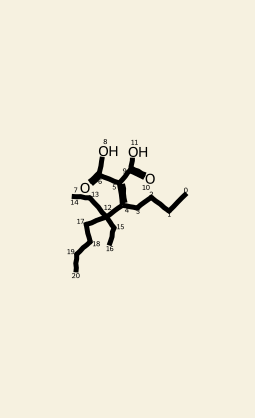 CCCCC(=C(C(=O)O)C(=O)O)C(CC)(CC)CCCC